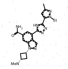 CCn1nc(C)cc1-c1nnc(-c2cc(C(N)=O)cc3c2cnn3[C@H]2C[C@@H](NC)C2)[nH]1